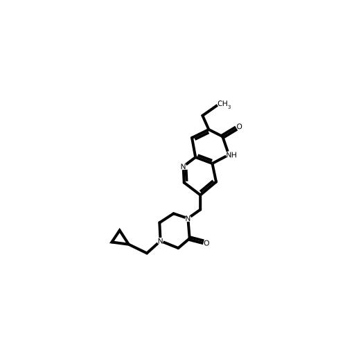 CCc1cc2ncc(CN3CCN(CC4CC4)CC3=O)cc2[nH]c1=O